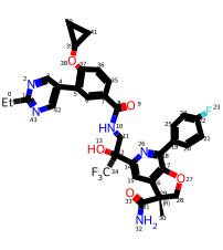 CCc1ncc(-c2cc(C(=O)NCC(O)(c3cc4c(c(-c5ccc(F)cc5)n3)OC[C@]4(C)C(N)=O)C(F)(F)F)ccc2OC2CC2)cn1